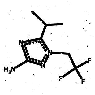 CC(C)c1nc(N)nn1CC(F)(F)F